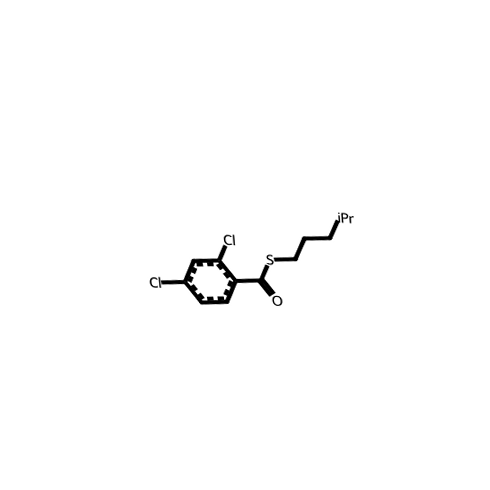 CC(C)CCCSC(=O)c1ccc(Cl)cc1Cl